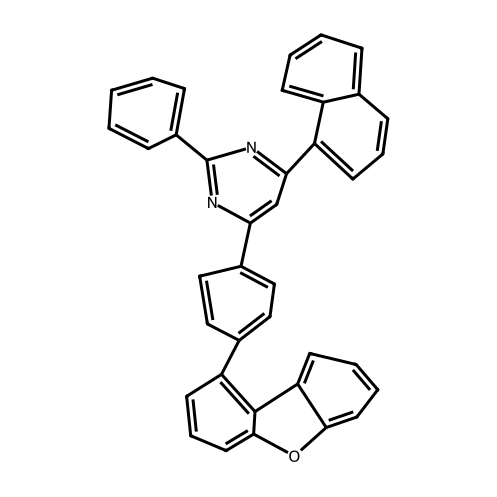 c1ccc(-c2nc(-c3ccc(-c4cccc5oc6ccccc6c45)cc3)cc(-c3cccc4ccccc34)n2)cc1